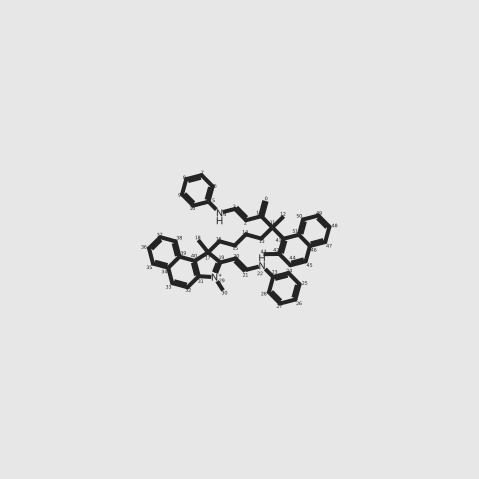 C=C(/C=C/Nc1ccccc1)C(C)(CCCCC1(C)C(/C=C/Nc2ccccc2)=[N+](C)c2ccc3ccccc3c21)c1c(C)ccc2ccccc12